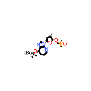 C[C@H]1C[C@H](n2cnc3c2N=CCC[C@H]3O[Si](C)(C)C(C)(C)C)O[C@@H]1OCP(C)(C)=O